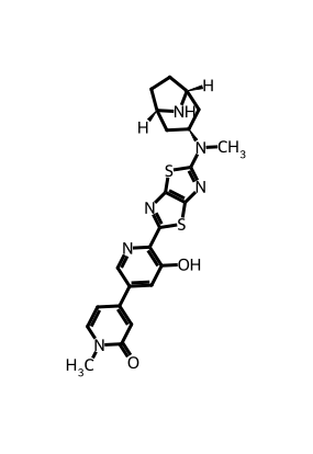 CN(c1nc2sc(-c3ncc(-c4ccn(C)c(=O)c4)cc3O)nc2s1)[C@@H]1C[C@H]2CC[C@@H](C1)N2